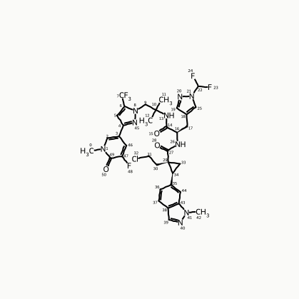 Cn1cc(-c2cc(C(F)(F)F)n(CC(C)(C)NC(=O)[C@@H](Cc3cnn(C(F)F)c3)NC(=O)[C@]3(CCCl)C[C@H]3c3ccc4cnn(C)c4c3)n2)cc(F)c1=O